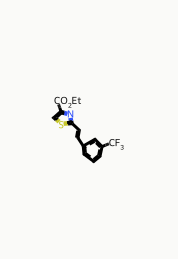 CCOC(=O)c1csc(C=Cc2cccc(C(F)(F)F)c2)n1